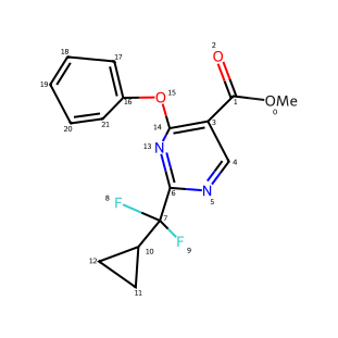 COC(=O)c1cnc(C(F)(F)C2CC2)nc1Oc1ccccc1